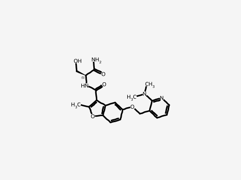 Cc1oc2ccc(OCc3cccnc3N(C)C)cc2c1C(=O)N[C@@H](CO)C(N)=O